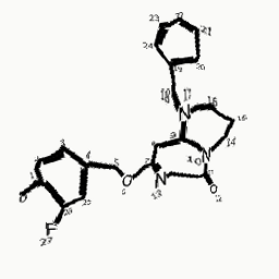 Cc1ccc(COc2cc3n(c(=O)n2)CCCN3Cc2ccccc2)cc1F